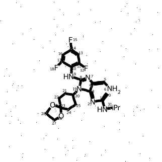 C=C(/N=C1\C(=C/N)N=C(Nc2c(F)cc(F)cc2F)N1C1CCC2(CC1)OCCO2)NC(C)C